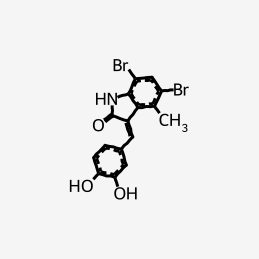 Cc1c(Br)cc(Br)c2c1C(=Cc1ccc(O)c(O)c1)C(=O)N2